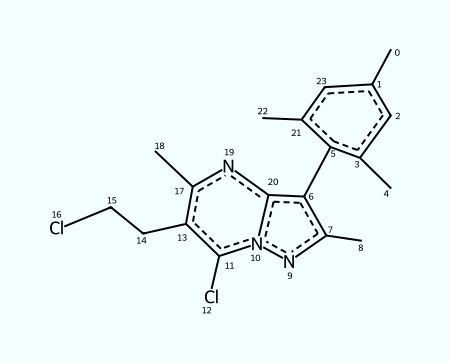 Cc1cc(C)c(-c2c(C)nn3c(Cl)c(CCCl)c(C)nc23)c(C)c1